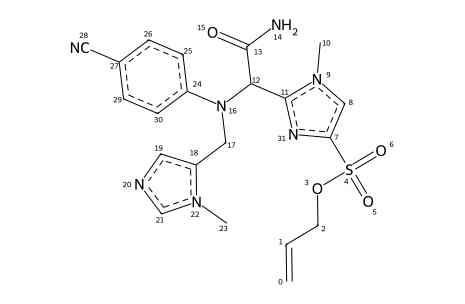 C=CCOS(=O)(=O)c1cn(C)c(C(C(N)=O)N(Cc2cncn2C)c2ccc(C#N)cc2)n1